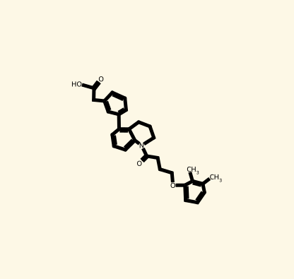 Cc1cccc(OCCCC(=O)N2CCCc3c(-c4cccc(CC(=O)O)c4)cccc32)c1C